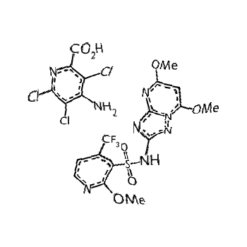 COc1cc(OC)n2nc(NS(=O)(=O)c3c(C(F)(F)F)ccnc3OC)nc2n1.Nc1c(Cl)c(Cl)nc(C(=O)O)c1Cl